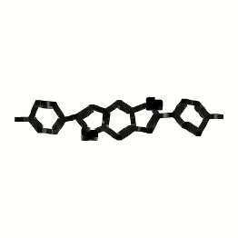 Cc1ccc(-c2cc3cc4[se]c(-c5ccc(C)cc5)cc4cc3[se]2)cc1